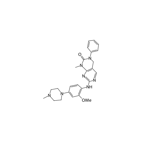 COc1cc(N2CCN(C)CC2)ccc1Nc1ncc2c(n1)N(C)C(=O)N(c1ccccc1)C2